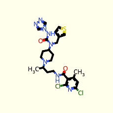 Cc1cc(Cl)nc(Cl)c1C(=O)NCCC(C)N1CCC(N(Cc2ccsc2)C(=O)Nn2cnnc2)CC1